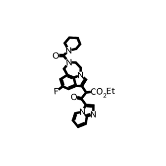 CCOC(=O)C(C(=O)c1cnc2ccccn12)c1cn2c3c(cc(F)cc13)CN(C(=O)N1CCCCC1)CC2